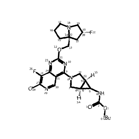 CC(C)(C)OC(=O)NC1[C@H]2CN(c3nc(OC[C@@]45CCCN4C[C@H](F)C5)nc4c(F)c(Cl)ncc34)C[C@@H]12